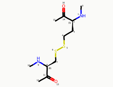 CN[C@@H](CCSSC[C@H](NC)C(C)=O)C(C)=O